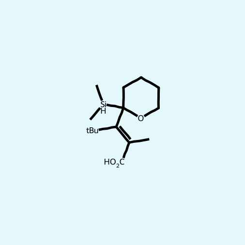 CC(C(=O)O)=C(C(C)(C)C)C1([SiH](C)C)CCCCO1